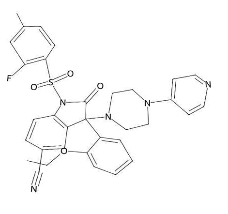 CCOc1ccccc1C1(N2CCN(c3ccncc3)CC2)C(=O)N(S(=O)(=O)c2ccc(C)cc2F)c2ccc(C#N)cc21